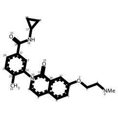 CNCCOc1ccc2ccn(-c3cc(C(=O)NC4CC4)ccc3C)c(=O)c2c1